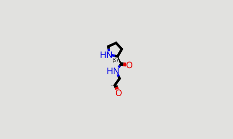 O=[C]CNC(=O)[C@@H]1CCCN1